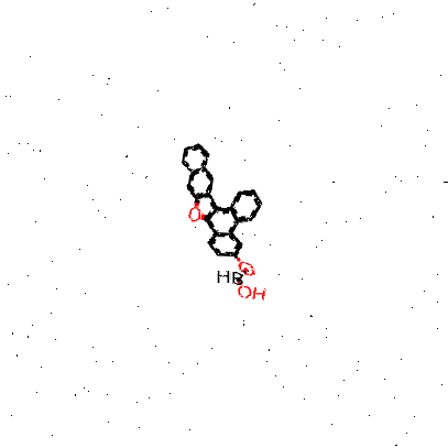 OBOc1ccc2c(c1)c1ccccc1c1c3cc4ccccc4cc3oc21